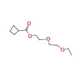 CCOCCOCCOC(=O)C1CCC1